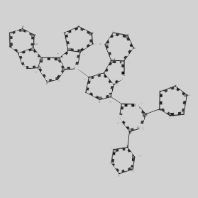 c1ccc(-c2nc(-c3ccccc3)nc(-c3ccc(-n4c5ccccc5c5c6c(ccc54)sc4ccccc46)c4c3oc3ccccc34)n2)cc1